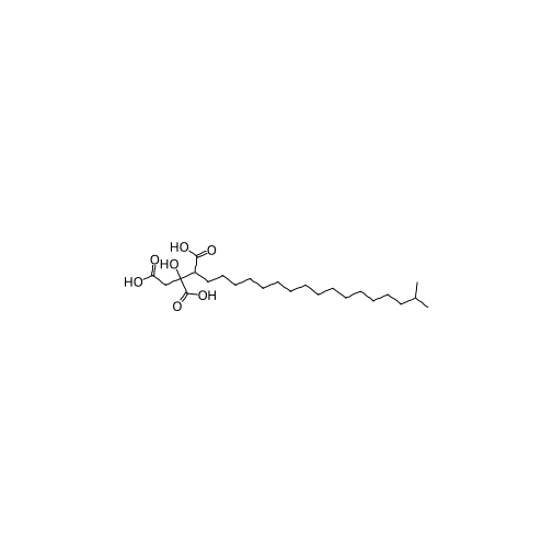 CC(C)CCCCCCCCCCCCCCCC(C(=O)O)C(O)(CC(=O)O)C(=O)O